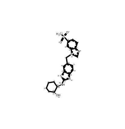 CS(=O)(=O)c1ccc2ncn(Cc3ccc4nc(N[C@@H]5CCCC[C@H]5O)sc4c3)c2c1